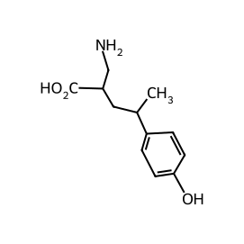 CC(CC(CN)C(=O)O)c1ccc(O)cc1